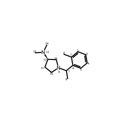 Cc1ccccc1C(C)N1CC[C@@H](N(C)C)C1